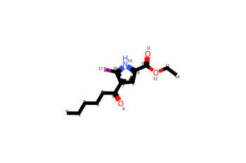 CCCCCC(=O)c1cc(C(=O)OCC)[nH]c1I